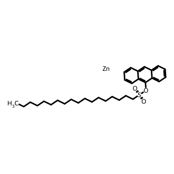 CCCCCCCCCCCCCCCCCCS(=O)(=O)Oc1c2ccccc2cc2ccccc12.[Zn]